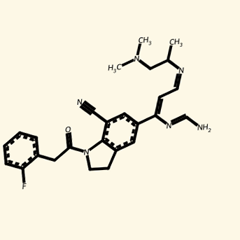 CC(CN(C)C)\N=C/C=C(\N=C\N)c1cc(C#N)c2c(c1)CCN2C(=O)Cc1ccccc1F